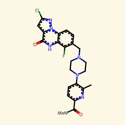 CNC(=O)c1ccc(N2CCN(Cc3ccc4c([nH]c(=O)c5cc(Cl)nn54)c3F)CC2)c(C)n1